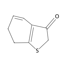 O=C1CSC2=C1C=CCC2